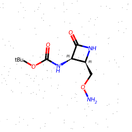 CC(C)(C)OC(=O)N[C@H]1C(=O)N[C@H]1CON